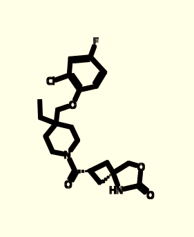 CCC1(COc2ccc(F)cc2Cl)CCN(C(=O)[C@H]2C[C@@]3(COC(=O)N3)C2)CC1